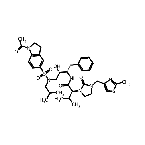 CC(=O)N1CCc2cc(S(=O)(=O)N(CC(C)C)C[C@@H](O)[C@H](Cc3ccccc3)NC(=O)[C@H](C(C)C)N3CCN(Cc4csc(C)n4)C3=O)ccc21